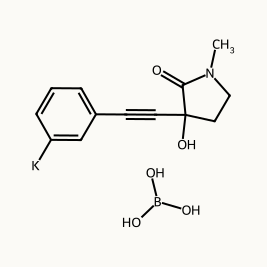 CN1CCC(O)(C#Cc2ccc[c]([K])c2)C1=O.OB(O)O